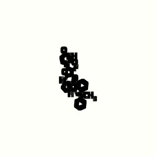 CC[C@H]1O[C@@H](n2ccc(=O)[nH]c2=O)[C@@H](F)C1O[P@@]1O[C@H](C[Si](C)(c2ccccc2)c2ccccc2)[C@@H]2CCCN21